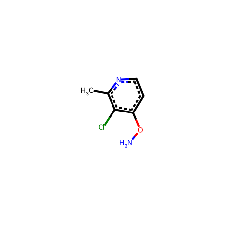 Cc1nccc(ON)c1Cl